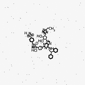 CCc1nnn([C@H]2C[C@@H](n3cnc4c(NCC(c5ccccc5)c5ccccc5)nc(N5CCC(NC(=O)Nc6ccc(S(N)(=O)=O)cc6)C5)nc43)[C@H](O)[C@@H]2O)n1.Cl